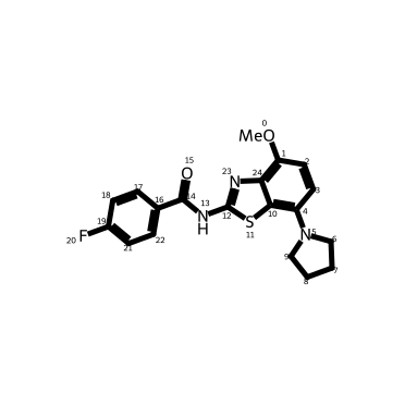 COc1ccc(N2CCCC2)c2sc(NC(=O)c3ccc(F)cc3)nc12